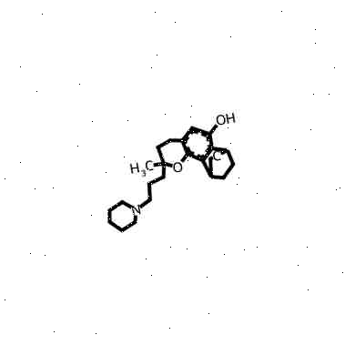 CC1(CCCN2CCCCC2)CCc2cc(O)c3c(c2O1)C1CCC3CC1